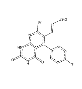 CC(C)c1nc2[nH]c(=O)[nH]c(=O)c2c(-c2ccc(F)cc2)c1/C=C/C=O